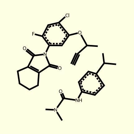 C#CC(C)Oc1cc(N2C(=O)C3=C(CCCC3)C2=O)c(F)cc1Cl.CC(C)c1ccc(NC(=O)N(C)C)cc1